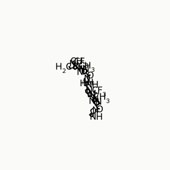 C=Cc1cc(-c2nc3cc(C(=O)N4CC[C@H]5CC(c6ccc7cc(-c8nc9cc(C(=O)N%10CCC%11CCNC%11C%10)cnc9n8C)n(CC(F)(F)F)c7n6)N[C@H]5C4)cnc3n2C)n(CC(F)(F)F)c1N=C